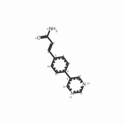 NC(=O)/C=C/c1ccc(-c2cncnc2)cc1